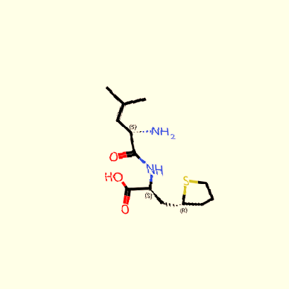 CC(C)C[C@H](N)C(=O)N[C@@H](C[C@H]1CCCS1)C(=O)O